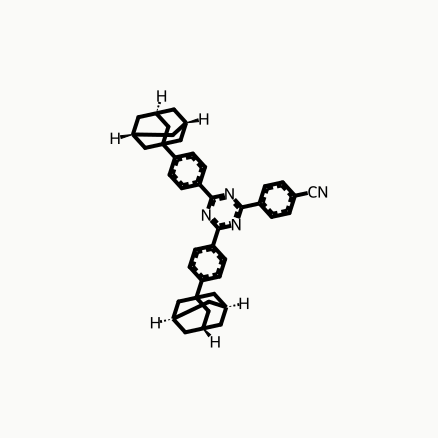 N#Cc1ccc(-c2nc(-c3ccc(C45C[C@H]6C[C@@H](C4)C[C@@H](C5)C6)cc3)nc(-c3ccc(C45C[C@H]6C[C@@H](C4)C[C@@H](C5)C6)cc3)n2)cc1